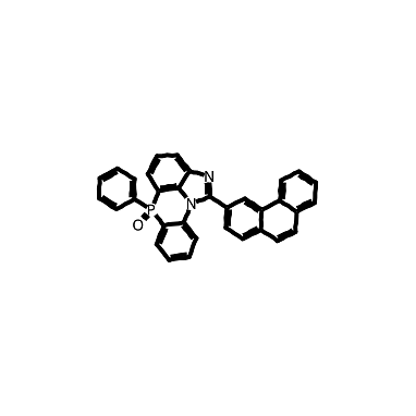 O=P1(c2ccccc2)c2ccccc2-n2c(-c3ccc4ccc5ccccc5c4c3)nc3cccc1c32